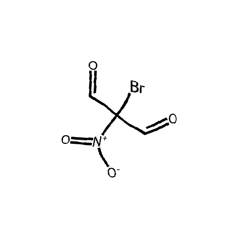 O=CC(Br)(C=O)[N+](=O)[O-]